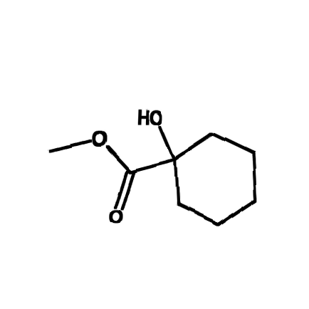 COC(=O)C1(O)CCCCC1